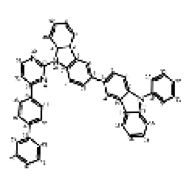 C1=CC2c3cc(-c4ccc5c(c4)c4ccccc4n5-c4ccccc4)ccc3N(c3nccc(-c4ccc(-c5ccccc5)cc4)n3)C2C=C1